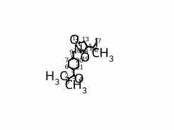 CC(C)C(=O)C1CCC(CN2C(=O)CC(C(C)I)C2=O)CC1